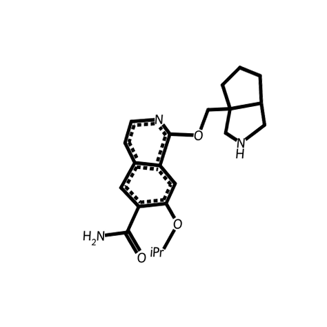 CC(C)Oc1cc2c(OCC34CCCC3CNC4)nccc2cc1C(N)=O